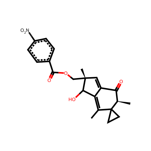 CC1=C2C(=C[C@@](C)(COC(=O)c3ccc([N+](=O)[O-])cc3)C2O)C(=O)[C@@H](C)C12CC2